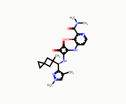 Cc1cn(C)nc1[C@H](Nc1c(Nc2ccnc(C(=O)N(C)C)c2O)c(=O)c1=O)C1(C)CC2(CC2)C1